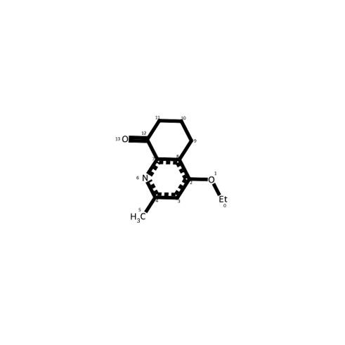 CCOc1cc(C)nc2c1CCCC2=O